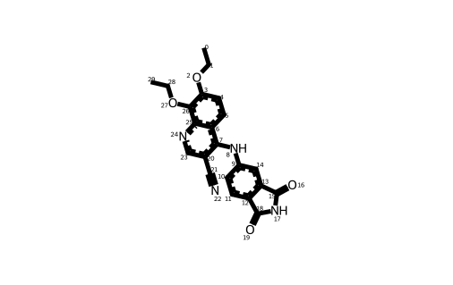 CCOc1ccc2c(Nc3ccc4c(c3)C(=O)NC4=O)c(C#N)cnc2c1OCC